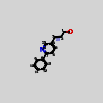 O=C/C=C/c1ccc(-c2ccccc2)nc1